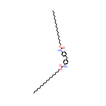 CCCCCCCCCCCCCCCCCCOC(=O)Nc1ccc(Cc2ccc(NC(=O)OCCCCCCCCCCCCCCCCCC)cc2)cc1